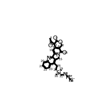 CC1O[C@@]12C(=O)OCc1c2cc2n(c1=O)Cc1c-2nc2ccccc2c1CC[Si](C)(C)CN=[N+]=[N-]